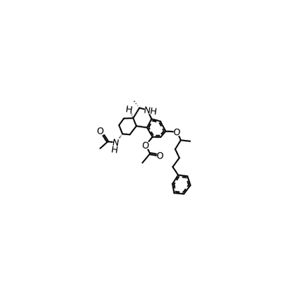 CC(=O)N[C@@H]1CC[C@@H]2C(C1)c1c(cc(OC(C)CCCc3ccccc3)cc1OC(C)=O)N[C@H]2C